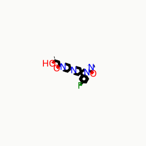 C[C@@H](O)CC(=O)N1CCC(N2CCC3(CC2)CN(C(=O)N(C)C)c2ccc(F)cc23)CC1